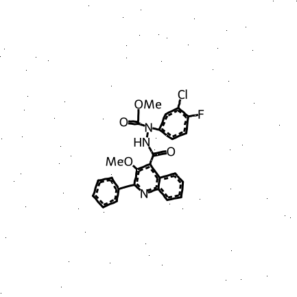 COC(=O)N(NC(=O)c1c(OC)c(-c2ccccc2)nc2ccccc12)c1ccc(F)c(Cl)c1